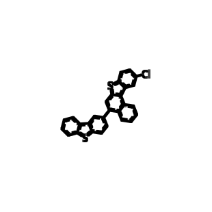 Clc1ccc2sc3cc(-c4ccc5sc6ccccc6c5c4)c4ccccc4c3c2c1